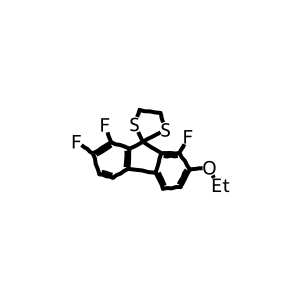 CCOc1ccc2c(c1F)C1(SCCS1)c1c-2ccc(F)c1F